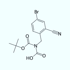 CC(C)(C)OC(=O)N(Cc1ccc(Br)cc1C#N)C(=O)O